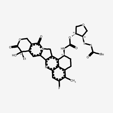 CC[C@@]1(O)C(=O)OCc2c1cc1n(c2=O)Cc2c-1nc1cc(F)c(C)c3c1c2[C@@H](NC(=O)O[C@@H]1COC[C@H]1SSC(=O)C(C)(C)C)CC3